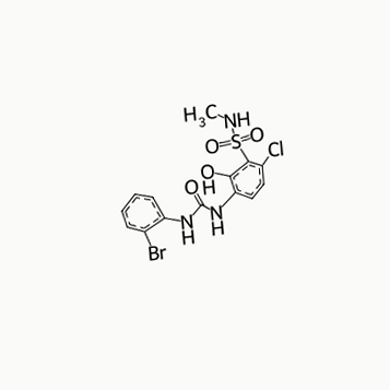 CNS(=O)(=O)c1c(Cl)ccc(NC(=O)Nc2ccccc2Br)c1O